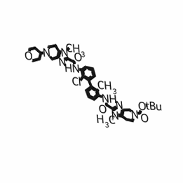 Cc1c(NC(=O)c2nc3c(n2C)CCN(C(=O)OC(C)(C)C)C3)cccc1-c1cccc(NC(=O)c2nc3c(n2C)CCN(C2CCOCC2)C3)c1Cl